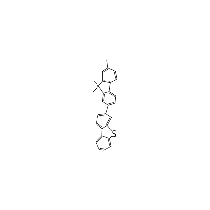 Cc1ccc2c(c1)C(C)(C)c1cc(-c3ccc4c(c3)sc3ccccc34)ccc1-2